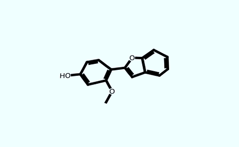 COc1cc(O)ccc1-c1cc2ccccc2o1